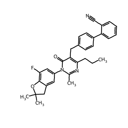 CCCc1nc(C)n(-c2cc(F)c3c(c2)CC(C)(C)O3)c(=O)c1Cc1ccc(-c2ccccc2C#N)cc1